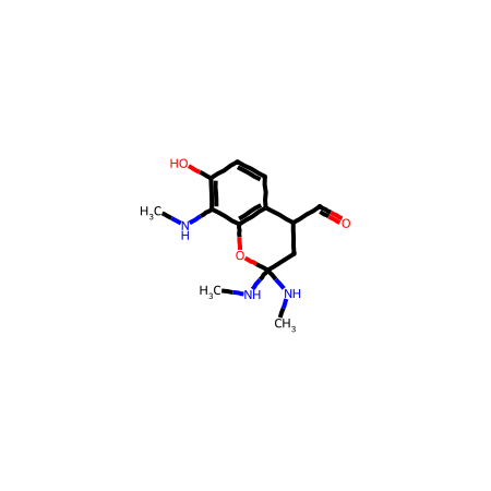 CNc1c(O)ccc2c1OC(NC)(NC)CC2C=O